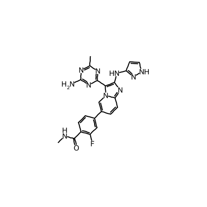 CNC(=O)c1ccc(-c2ccc3nc(Nc4cc[nH]n4)c(-c4nc(C)nc(N)n4)n3c2)cc1F